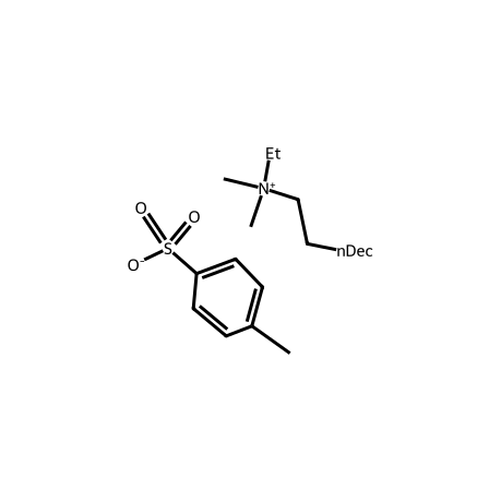 CCCCCCCCCCCC[N+](C)(C)CC.Cc1ccc(S(=O)(=O)[O-])cc1